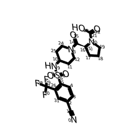 N#Cc1ccc(S(=O)(=O)NC2CCN(C(=O)[C@@H]3CCCN3C(=O)O)CC2)c(C(F)(F)F)c1